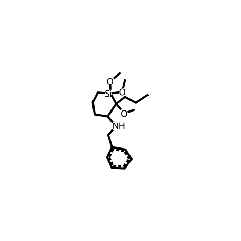 CCCC1(OC)C(NCc2ccccc2)CCC[Si]1(OC)OC